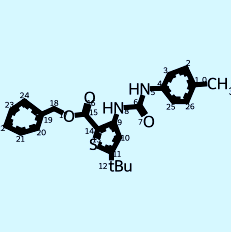 Cc1ccc(NC(=O)Nc2cc(C(C)(C)C)sc2C(=O)OCc2ccccc2)cc1